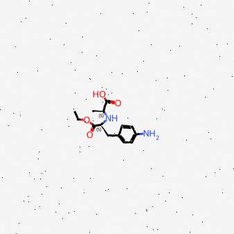 CCOC(=O)[C@H](Cc1ccc(N)cc1)N[C@@H](C)C(=O)O